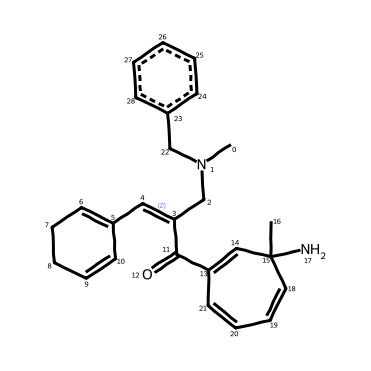 CN(C/C(=C/C1=CCCC=C1)C(=O)C1=CC(C)(N)C=CC=C1)Cc1ccccc1